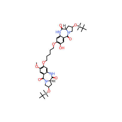 COc1cc2c(cc1OCCCCCOc1cc3c(cc1O)C(=O)N1CC(O[Si](C)(C)C(C)(C)C)C[C@H]1C(=O)N3)NC(=O)[C@@H]1CC(O[Si](C)(C)C(C)(C)C)CN1C2=O